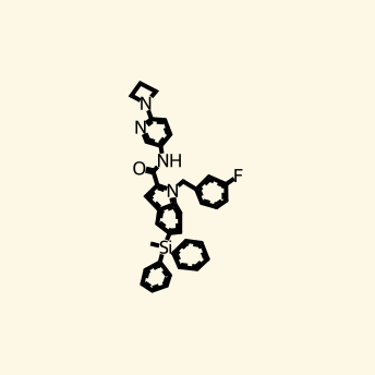 C[Si](c1ccccc1)(c1ccccc1)c1ccc2c(c1)cc(C(=O)Nc1ccc(N3CCC3)nc1)n2Cc1cccc(F)c1